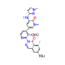 Cn1ccc(Nc2cc(-c3ccnc(-n4ncc5cc(C(C)(C)C)cc(F)c5c4=O)c3C=O)cn(C)c2=O)n1